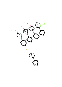 CCOC12CCC(c3ccc([S])cc3)(CC1)CC2.CCOC12CCC(c3ccc([S])cc3)(CC1)CC2.CCOC12CCC(c3ccc([S])cc3)(CC1)CC2.CCOC12CCC(c3ccc([S])cc3)(CC1)CC2.CCOC12CCC(c3ccc([S])cc3)(CC1)CC2.F.F.F.F.F